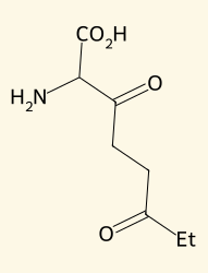 CCC(=O)CCC(=O)C(N)C(=O)O